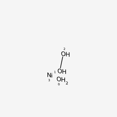 O.OO.[Ni]